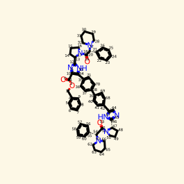 O=C(OCc1ccccc1)c1nc(C2CCCN2C(=O)[C@@H](c2ccccc2)N2CCCCC2)[nH]c1-c1ccc(-c2ccc(-c3cnc([C@@H]4CCCN4C(=O)[C@@H](c4ccccc4)N4CCCCC4)[nH]3)cc2)cc1